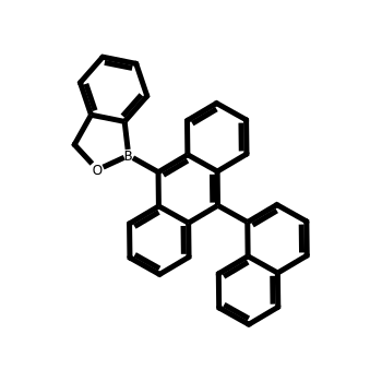 c1ccc2c(c1)COB2c1c2ccccc2c(-c2cccc3ccccc23)c2ccccc12